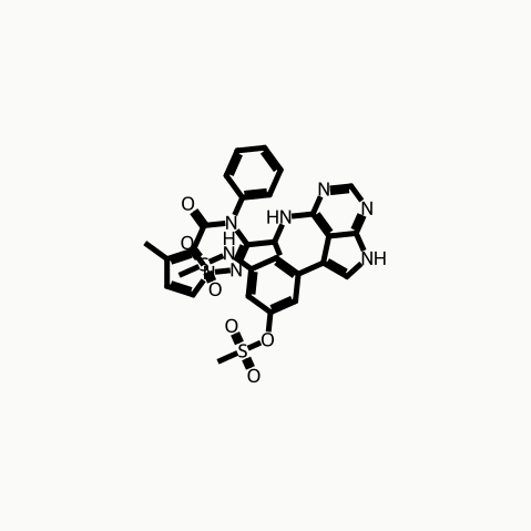 Cc1ccn2nc(C(C)Nc3ncnc4[nH]cc(-c5cc(NS(C)(=O)=O)cc(OS(C)(=O)=O)c5)c34)n(-c3ccccc3)c(=O)c12